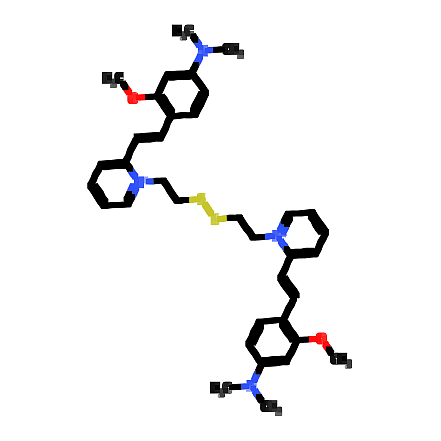 COc1cc(N(C)C)ccc1/C=C/c1cccc[n+]1CCSSCC[n+]1ccccc1/C=C/c1ccc(N(C)C)cc1OC